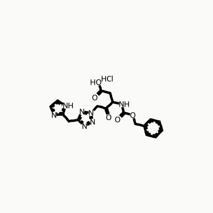 Cl.O=C(O)CC(NC(=O)OCc1ccccc1)C(=O)Cn1nnc(Cc2ncc[nH]2)n1